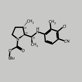 Cc1c(N[C@@H](C)[C@@H]2[C@@H](C)CCN2C(=O)OC(C)(C)C)ccc(C#N)c1Cl